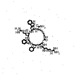 CC(=O)N[C@@H](CCCNC(=N)N)C(=O)N[C@H]1CC(=O)NCCCC[C@@H](C(N)=O)NC(=O)[C@H](Cc2c[nH]c3ccccc23)NC(O)[C@H](CCCNC(=N)N)NC(=O)[C@@H](Cc2ccccc2)NC(=O)[C@@H](CC2CCCCC2)NC1=O